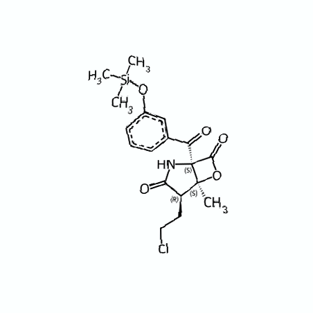 C[C@@]12OC(=O)[C@]1(C(=O)c1cccc(O[Si](C)(C)C)c1)NC(=O)[C@@H]2CCCl